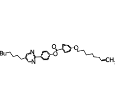 C=CCCCCCCOc1ccc(C(=O)Oc2ccc(-c3ncc(CCCCC(C)CC)cn3)cc2)cc1